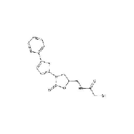 O=C(CS)NC[C@@H]1CN(c2ccc(-c3ccccn3)s2)C(=O)O1